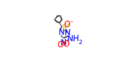 NC1=C([N+](=O)[O-])CN2C=C(c3ccccc3)[S+]([O-])C2=N1